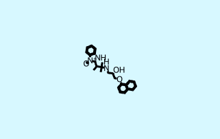 CC(C1Nc2ccccc2[N+]1=O)C(C)(C)NCC(O)COc1cccc2ccccc12